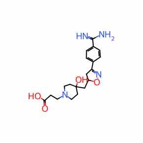 N=C(N)c1ccc(C2=NOC(CC3(O)CCN(CCC(=O)O)CC3)C2)cc1